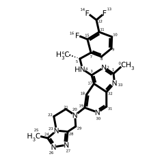 Cc1nc(N[C@H](C)c2cccc(C(F)F)c2F)c2cc(N3CCn4c(C)nnc4C3)ncc2n1